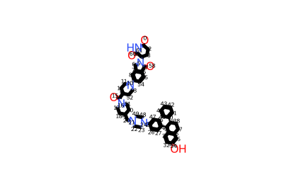 O=C1CCC(N2Cc3cc(N4CCC(C(=O)N5CCC(CN6CCN(c7ccc([C@@H]8c9ccc(O)cc9CC[C@@H]8c8ccccc8)cc7)CC6)CC5)CC4)ccc3C2=O)C(=O)N1